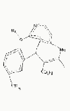 CC1=C(C(=O)O)C(c2cccc(C(F)(F)F)c2)c2c(ccnc2OC(C)C)N1